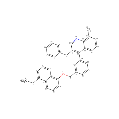 O=C(O)Cc1cccc2c(OCc3cccc(-c4c(Cc5ccccc5)cnc5c(C(F)(F)F)cccc45)c3)cccc12